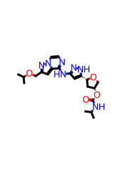 CC(C)NC(=O)O[C@H]1CO[C@@H](c2cc(Nc3nccn4nc(COC(C)C)cc34)n[nH]2)C1